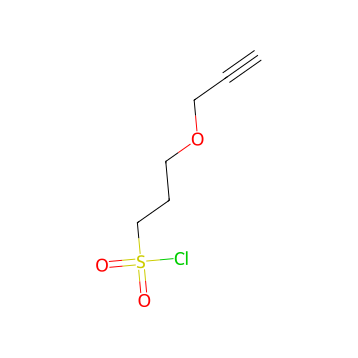 C#CCOCCCS(=O)(=O)Cl